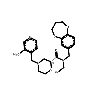 COc1cnccc1CN1CCO[C@@H](C(=O)N(Cc2ccc3c(c2)OCCCO3)CC(C)C)C1